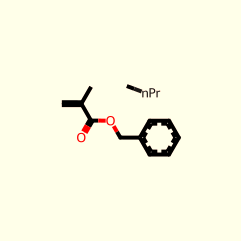 C=C(C)C(=O)OCc1ccccc1.CCCC